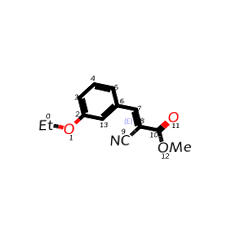 CCOc1cccc(/C=C(\C#N)C(=O)OC)c1